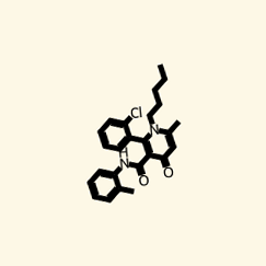 CCCCCn1c(C)cc(=O)c(C(=O)Nc2ccccc2C)c1-c1ccccc1Cl